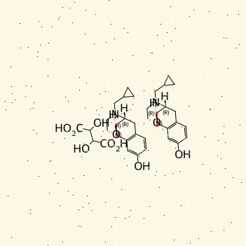 O=C(O)C(O)C(O)C(=O)O.Oc1ccc2c(c1)[C@]13CCN(CC4CC4)[C@H](C2)[C@@H]1CCOC3.Oc1ccc2c(c1)[C@]13CCN(CC4CC4)[C@H](C2)[C@@H]1CCOC3